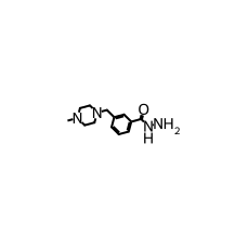 CN1CCN(Cc2cccc(C(=O)NN)c2)CC1